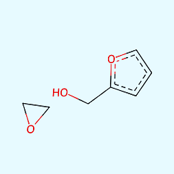 C1CO1.OCc1ccco1